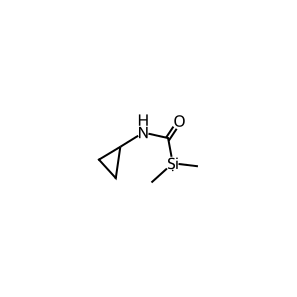 C[Si](C)C(=O)NC1CC1